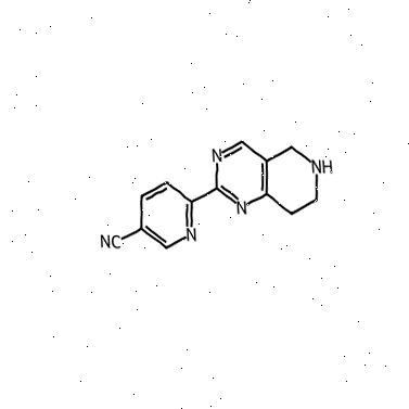 N#Cc1ccc(-c2ncc3c(n2)CCNC3)nc1